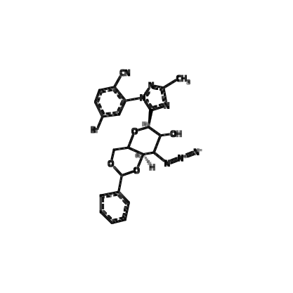 Cc1nc([C@@H]2OC3COC(c4ccccc4)O[C@@H]3C(N=[N+]=[N-])C2O)n(-c2cc(Br)ccc2C#N)n1